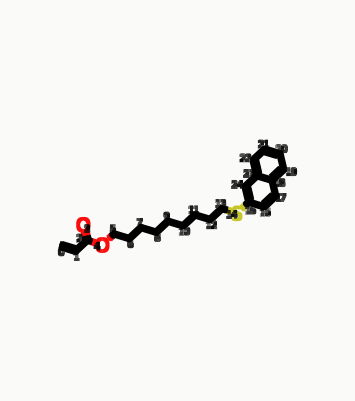 C=CC(=O)OCCCCCCCCCSc1ccc2ccccc2c1